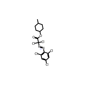 CC1CCC(OC(=O)C(Cl)(Cl)/N=N/c2c(Cl)cc(Cl)cc2Cl)CC1